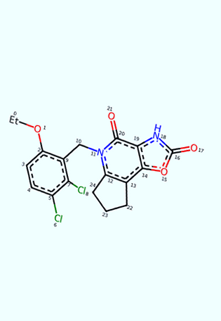 CCOc1ccc(Cl)c(Cl)c1Cn1c2c(c3oc(=O)[nH]c3c1=O)CCC2